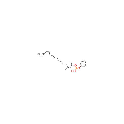 CCCCCCCC/C=C\CCCCCCCCC(C)CC(C)OP(O)Oc1ccccc1